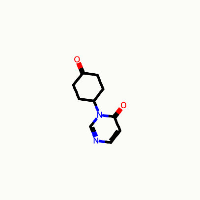 O=C1CCC(n2cnccc2=O)CC1